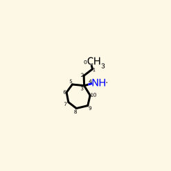 CCCC1([NH])CCCCCC1